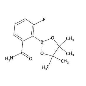 CC1(C)OB(c2c(F)cccc2C(N)=O)OC1(C)C